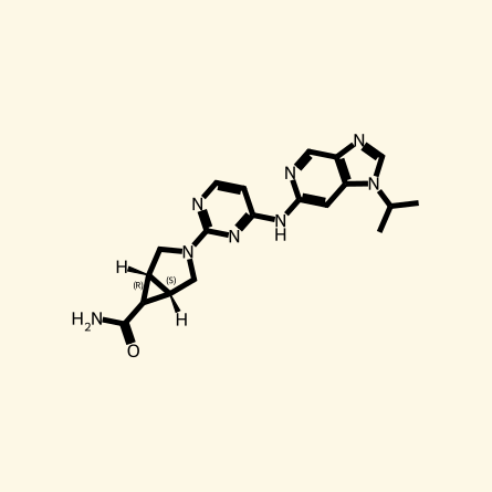 CC(C)n1cnc2cnc(Nc3ccnc(N4C[C@@H]5C(C(N)=O)[C@@H]5C4)n3)cc21